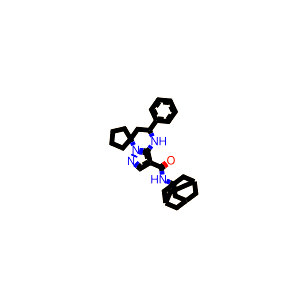 O=C(NC12CC3CC(CC(C3)C1)C2)c1cnn2c1NC(c1ccccc1)CC21CCCC1